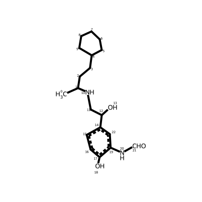 CC(CCC1CCCCC1)NCC(O)c1ccc(O)c(NC=O)c1